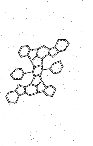 c1ccc(-c2c3c4c5oc6ccccc6c5cc5c6ccccc6n(c3c(-c3ccccc3)c3c6c7oc8ccccc8c7cc7c8ccccc8n(c23)c76)c54)cc1